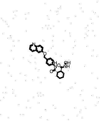 O=C(NO)[C@H]1CCCC[C@@H]1C(=O)Nc1ccc(COc2ccc3ncccc3c2)cc1